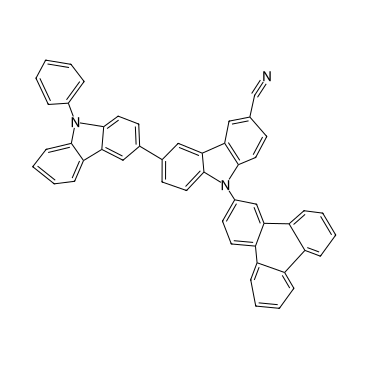 N#Cc1ccc2c(c1)c1cc(-c3ccc4c(c3)c3ccccc3n4-c3ccccc3)ccc1n2-c1ccc2c3ccccc3c3ccccc3c2c1